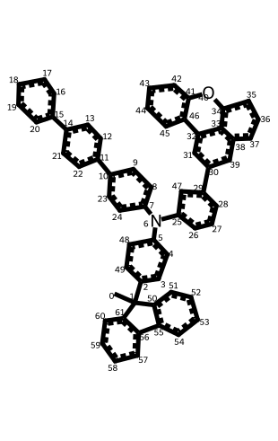 CC1(c2ccc(N(c3ccc(-c4ccc(-c5ccccc5)cc4)cc3)c3cccc(-c4cc5c6c(cccc6c4)Oc4ccccc4-5)c3)cc2)c2ccccc2-c2ccccc21